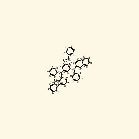 c1ccc(-c2nc3c(N(c4ccccc4)c4ccc5ccccc5c4)cc(N(c4ccccc4)c4cccc5c4oc4ccccc45)cc3o2)cc1